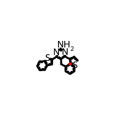 Nc1nc(-c2ccsc2)c(Cc2ccccc2)c(-c2cc3ccccc3s2)n1